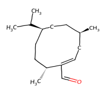 CC(C)[C@H]1CC[C@@H](C)C/C=C(/C=O)[C@H](C)CC1